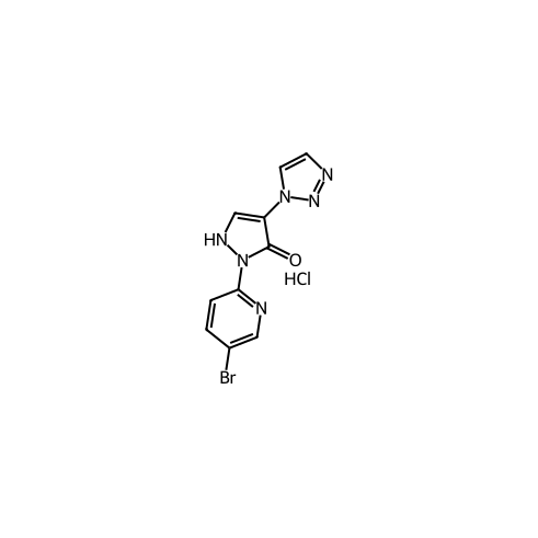 Cl.O=c1c(-n2ccnn2)c[nH]n1-c1ccc(Br)cn1